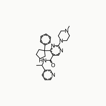 CC(NC(=O)c1cnc(N2CCN(C)CC2)nc1C1(c2ccccc2)CCCC1)c1cccnc1